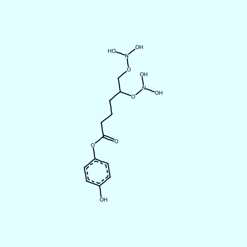 O=C(CCCC(CON(O)O)ON(O)O)Oc1ccc(O)cc1